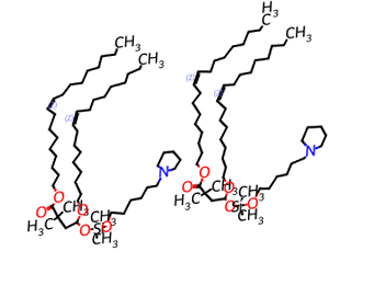 CCCCCCCC/C=C\CCCCCCCCOC(=O)C(C)(C)CC(OCCCCCCCC/C=C\CCCCCCCC)O[Si](C)(C)OCCCCCCN1CCCCC1.CCCCCCCC/C=C\CCCCCCCCOC(=O)C(C)(C)CC(OCCCCCCCC/C=C\CCCCCCCC)O[Si](C)(C)OCCCCCCN1CCCCC1